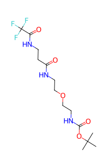 CC(C)(C)OC(=O)NCCOCCNC(=O)CCNC(=O)C(F)(F)F